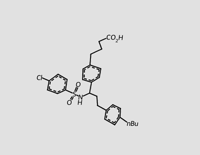 CCCCc1ccc(CCC(NS(=O)(=O)c2ccc(Cl)cc2)c2ccc(CCCC(=O)O)cc2)cc1